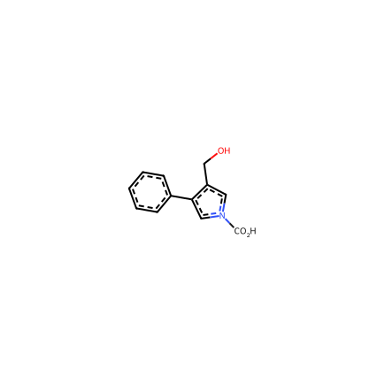 O=C(O)n1cc(CO)c(-c2ccccc2)c1